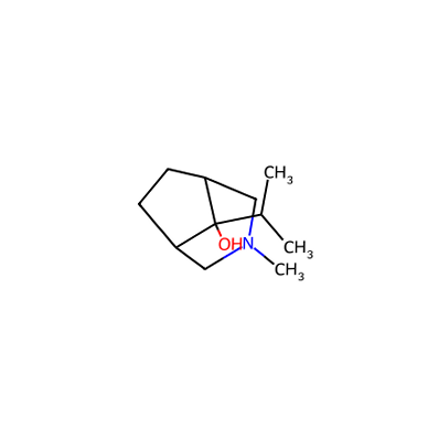 CC(C)C1(O)C2CCC1CN(C)C2